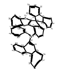 c1ccc(N(c2cccc3c2-c2c(sc4ccccc24)C32c3ccccc3-c3ccccc32)c2cc3ccccc3c3ccccc23)cc1